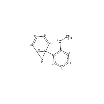 FC(F)(F)Oc1ccccc1C12C=CC=CC1S2